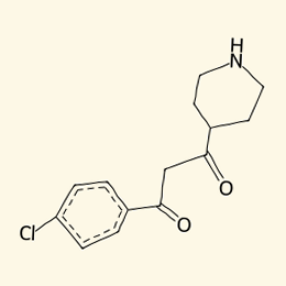 O=C(CC(=O)C1CCNCC1)c1ccc(Cl)cc1